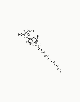 CCCCCCCCCCCCCCOC(=O)Nc1nc(F)nc2c1ncn2[C@H]1C[C@@]2(O)C[C@]2(CO)O1